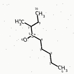 CCCCC[S+]([O-])C(C)CC